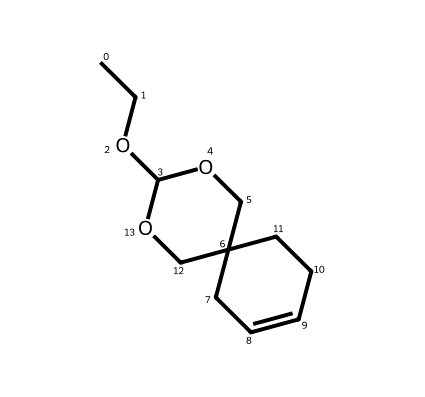 CCOC1OCC2(CC=CCC2)CO1